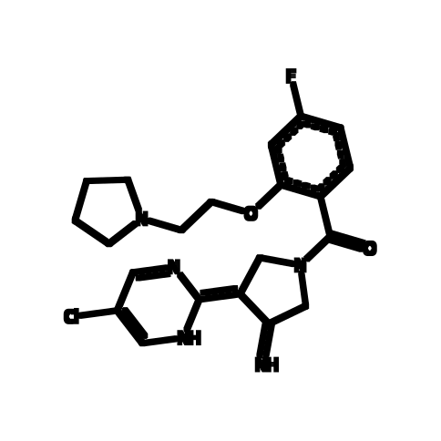 N=C1CN(C(=O)c2ccc(F)cc2OCCN2CCCC2)C/C1=C1\N=CC(Cl)=CN1